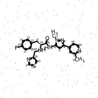 Cc1cc(-c2cc(NC(=O)[C@H](Cc3ccc(F)cc3)NCc3cscn3)n(C)n2)ccn1